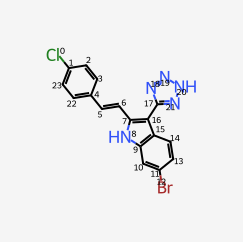 Clc1ccc(C=Cc2[nH]c3cc(Br)ccc3c2-c2nn[nH]n2)cc1